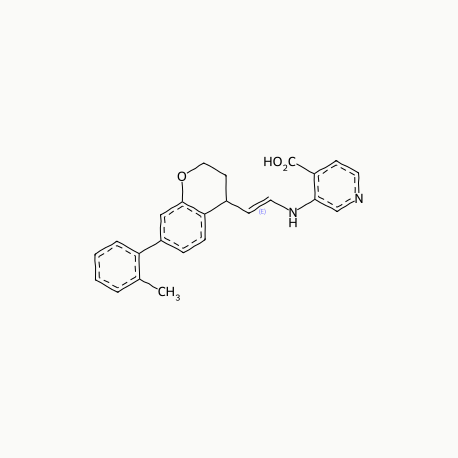 Cc1ccccc1-c1ccc2c(c1)OCCC2/C=C/Nc1cnccc1C(=O)O